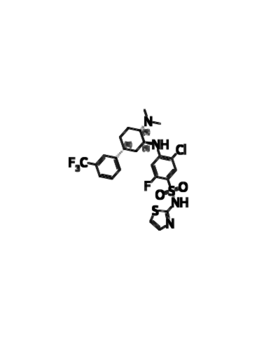 CN(C)[C@H]1CC[C@@H](c2cccc(C(F)(F)F)c2)C[C@@H]1Nc1cc(F)c(S(=O)(=O)Nc2nccs2)cc1Cl